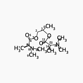 C[C](COC(=O)[C@H](C)N(C)C)OC(=O)[C@H](C)N(C)C